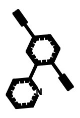 C#Cc1ccc(C#C)c(-c2ccccn2)c1